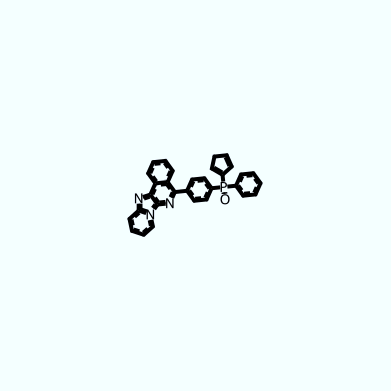 O=P(C1=CCC=C1)(c1ccccc1)c1ccc(-c2nc3c(nc4ccccn43)c3ccccc23)cc1